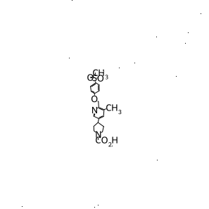 Cc1cc(C2CCN(C(=O)O)CC2)cnc1COc1ccc(S(C)(=O)=O)cc1